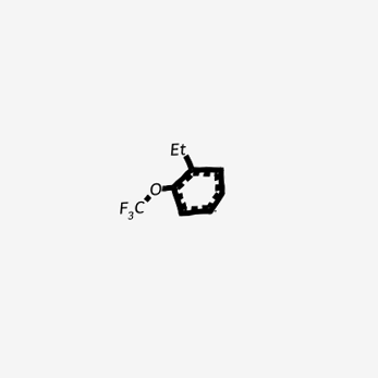 CCc1cc[c]cc1OC(F)(F)F